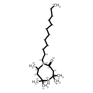 CCCCCCCCCCCCN1C(=O)CC(C)(C)NC(C)(C)CC1C